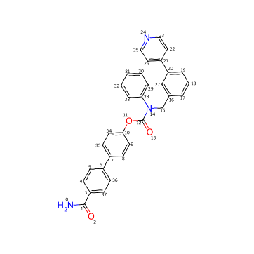 NC(=O)c1ccc(-c2ccc(OC(=O)N(Cc3cccc(-c4ccncc4)c3)c3ccccc3)cc2)cc1